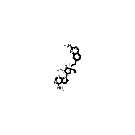 C=C[C@]1(CCc2ccc3ccc(N)nc3c2)C[C@@H](n2ccc3c(N)ncnc32)[C@H](O)[C@@H]1O